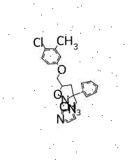 Cc1cc(OCC2CC(Cn3ccnc3)(c3ccccc3)N(C)O2)ccc1Cl